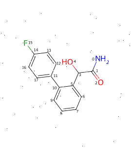 NC(=O)C(O)c1ccccc1-c1ccc(F)cc1